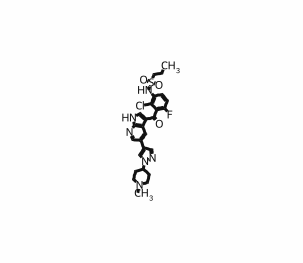 CCCS(=O)(=O)Nc1ccc(F)c(C(=O)c2c[nH]c3ncc(-c4cnn(C5CCN(C)CC5)c4)cc23)c1Cl